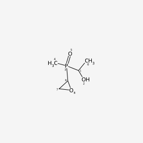 CC(O)P(C)(=O)C1CO1